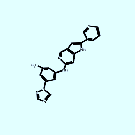 Cc1cc(Nc2cc3[nH]c(-c4cccnc4)cc3cn2)cc(-n2cncn2)c1